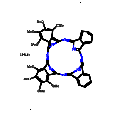 COc1c(OC)c(OC)c2c(c1OC)-c1nc-2nc2[nH]c(nc3nc(nc4[nH]c(n1)c1ccccc41)-c1ccccc1-3)c1c(OC)c(OC)c(OC)c(OC)c21.[LiH].[LiH]